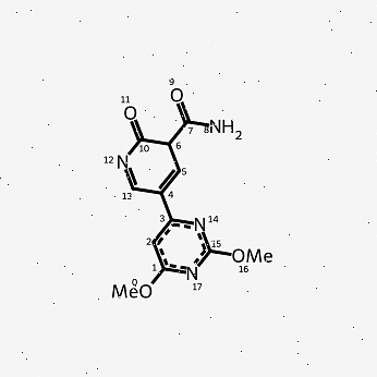 COc1cc(C2=CC(C(N)=O)C(=O)N=C2)nc(OC)n1